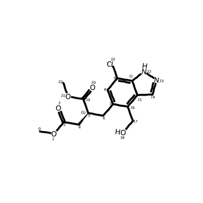 COC(=O)C[C@H](Cc1cc(Cl)c2[nH]ncc2c1CO)C(=O)OC